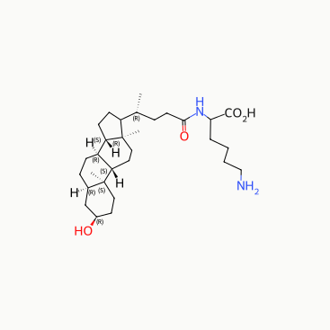 C[C@H](CCC(=O)NC(CCCCN)C(=O)O)C1CC[C@H]2[C@@H]3CC[C@@H]4C[C@H](O)CC[C@]4(C)[C@H]3CC[C@]12C